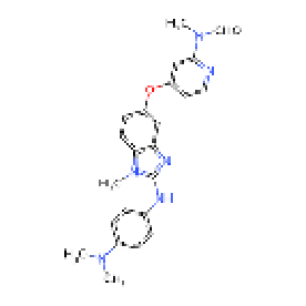 CN(C)c1ccc(Nc2nc3cc(Oc4ccnc(N(C)C=O)c4)ccc3n2C)cc1